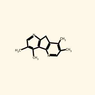 Cc1cnc2c(c1C)Cc1ncc(C)c(C)c1-2